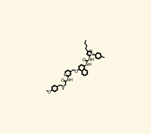 CCCCc1cc(NC(=O)Nc2ccc(OCc3ccnc(NC(=O)CN(C)Cc4ccc(OC)cc4)c3)c3ccccc23)n(-c2ccc(C)cc2)n1